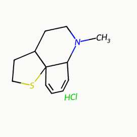 CN1CCC2CCSC23C=CC=CC13.Cl